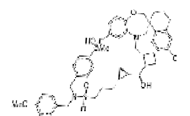 COc1ccc(CN(Cc2ccc(OC)cc2)S(=O)(=O)CCC[C@@H]2C[C@H]2[C@H](O)[C@@H]2CC[C@H]2CN2C[C@@]3(CCCc4cc(Cl)ccc43)COc3ccc(C(=O)O)cc32)cc1